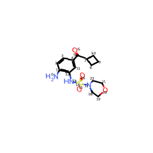 Nc1ccc(C(=O)C2CCC2)cc1NS(=O)(=O)N1CCOCC1